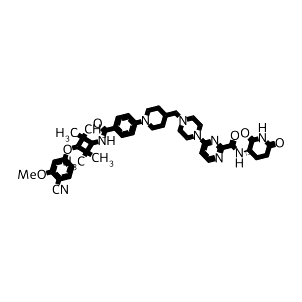 COc1cc(OC2C(C)(C)C(NC(=O)c3ccc(N4CCC(CN5CCN(c6ccnc(C(=O)N[C@H]7CCC(=O)NC7=O)n6)CC5)CC4)cc3)C2(C)C)ccc1C#N